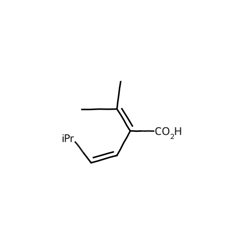 CC(C)=C(/C=C\C(C)C)C(=O)O